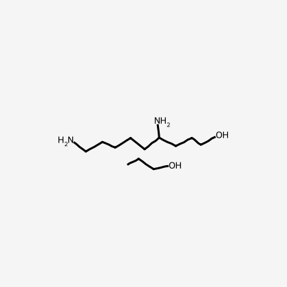 CCCO.NCCCCCC(N)CCCO